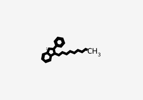 CCCCCCCCCC1C(c2ccccc2)[C]C2C=CC=CC21